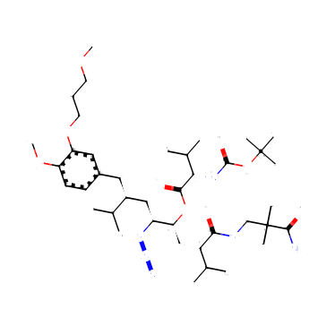 COCCCOc1cc(C[C@@H](C[C@H](N=[N+]=[N-])[C@H](C[C@H](C(=O)NCC(C)(C)C(N)=O)C(C)C)OC(=O)[C@@H](NC(=O)OC(C)(C)C)C(C)C)C(C)C)ccc1OC